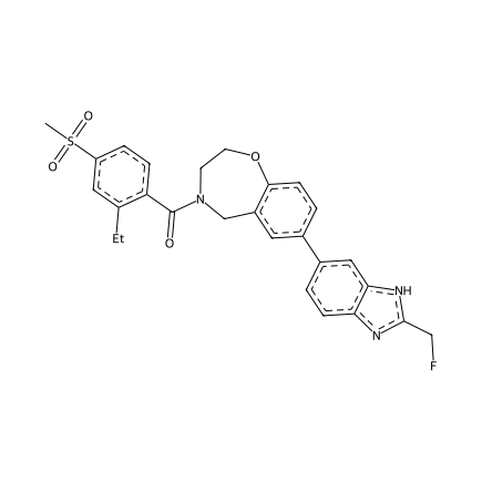 CCc1cc(S(C)(=O)=O)ccc1C(=O)N1CCOc2ccc(-c3ccc4nc(CF)[nH]c4c3)cc2C1